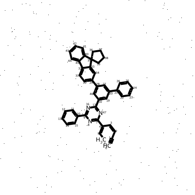 C#C/C=C\C(=C/C)c1nc(-c2ccccc2)nc(-c2cc(-c3ccccc3)cc(-c3ccc4c(c3)C3(CCCC3)c3ccccc3-4)c2)n1